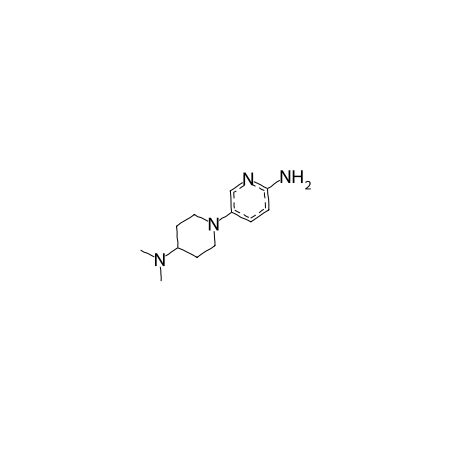 CN(C)C1CCN(c2ccc(N)nc2)CC1